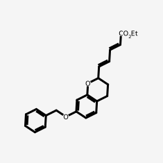 CCOC(=O)C=CC=CC1CCc2ccc(OCc3ccccc3)cc2O1